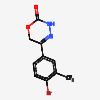 O=C1NN=C(c2ccc(Br)c(C(F)(F)F)c2)CO1